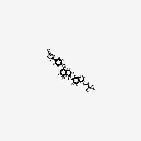 COC(=O)CC[C@@H]1COc2cc(O[C@@H]3CCc4c(Oc5ccc(-c6nnn(C)n6)cc5)ccc(F)c43)ccc21